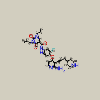 C=CCn1cc(C(=O)Nc2ccc(Oc3ccnc(N)c3C#CCC3CCNCC3)c(F)c2)c(=O)n(CC=C)c1=O